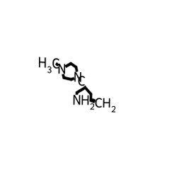 C=CCC(CN)CN1CCN(C)CC1